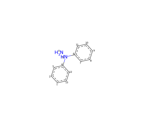 N.c1ccc(Nc2ccccc2)cc1